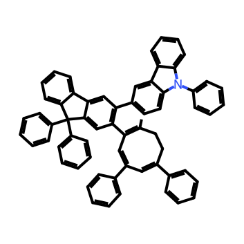 C/C1=C(c2cc3c(cc2-c2ccc4c(c2)c2ccccc2n4-c2ccccc2)-c2ccccc2C3(c2ccccc2)c2ccccc2)/C=C(c2ccccc2)\C=C(\c2ccccc2)CC1